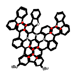 CC(C)(C)c1ccc2c(c1)c1cc(C(C)(C)C)ccc1n2-c1cc2c3c(c1)N(c1c(-c4ccccc4)cccc1-c1ccccc1)c1cc(-n4c5ccccc5c5ccccc54)c4c(oc5ccccc54)c1B3c1ccc(-n3c4ccccc4c4ccccc43)cc1N2c1c(-c2ccccc2)cccc1-c1ccccc1